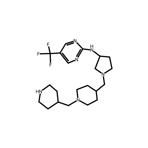 FC(F)(F)c1cnc(NC2CCN(CC3CCN(CC4CCNCC4)CC3)C2)nc1